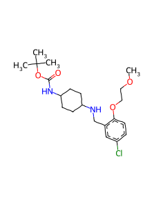 COCCOc1ccc(Cl)cc1CNC1CCC(NC(=O)OC(C)(C)C)CC1